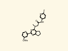 COc1ccnc(-c2nc3c(c(N(C)CC(=O)Nc4ccc(F)nc4)n2)CCC3)c1